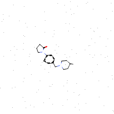 CC1CCN(Cc2ccc(N3CCCC3=O)cc2)CC1